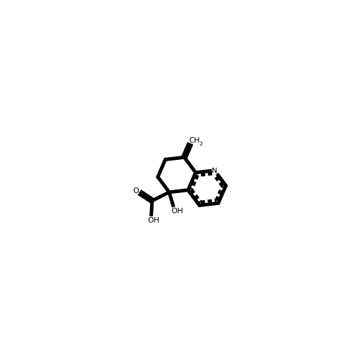 C=C1CCC(O)(C(=O)O)c2cccnc21